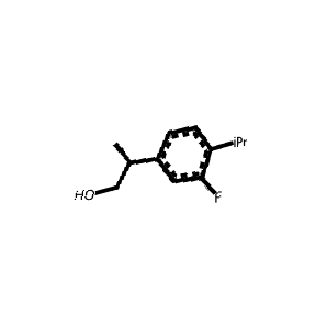 C[C](CO)c1ccc(C(C)C)c(F)c1